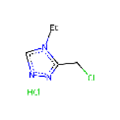 CCn1cnnc1CCl.Cl